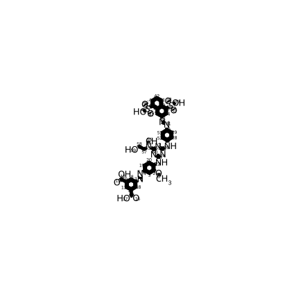 COc1cc(/N=N/c2cc(C(=O)O)cc(C(=O)O)c2)ccc1Nc1nc(Nc2ccc(/N=N/c3cc(S(=O)(=O)O)c4cccc(S(=O)(=O)O)c4c3)cc2)nc(N(C)CCO)n1